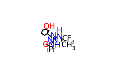 CC=C(Nc1nc(NC(=O)C(C)C)nc(C2=CC(O)CCC2)n1)C(F)(F)F